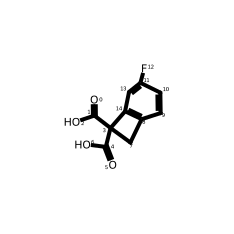 O=C(O)C1(C(=O)O)Cc2ccc(F)cc21